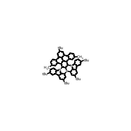 Cc1ccc2c(c1)c1c3c4c(c5c6cc(C)ccc6c6cc(C(C)(C)C)cc2c6c15)-n1c2ccc(C(C)(C)C)cc2c2cc(C(C)(C)C)cc(c21)B4c1cc(C(C)(C)C)cc2c4cc(C(C)(C)C)ccc4n-3c12